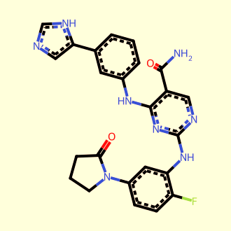 NC(=O)c1cnc(Nc2cc(N3CCCC3=O)ccc2F)nc1Nc1cccc(-c2cnc[nH]2)c1